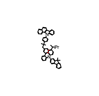 CC(C)C(C)c1ccc(N(c2ccc3c(c2)C(C)(C)c2ccccc2-3)c2ccccc2-c2cccc(CC(C)(C)c3ccc(-n4c5ccccc5c5ccc6ccccc6c54)cc3)c2)cc1